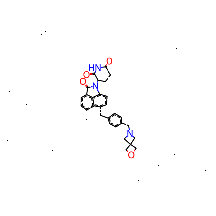 O=C1CCC(N2C(=O)c3cccc4c(Cc5ccc(CN6CC7(COC7)C6)cc5)ccc2c34)C(=O)N1